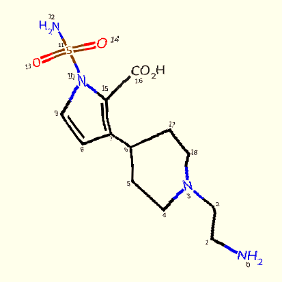 NCCN1CCC(c2ccn(S(N)(=O)=O)c2C(=O)O)CC1